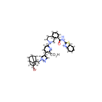 O=C(Nc1nc2ccccc2s1)c1cccc2c1CN(c1ccc(-c3cnn(CC45CC6CC(CC(Br)(C6)C4)C5)c3)c(C(=O)O)n1)CC2